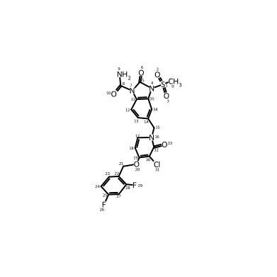 CS(=O)(=O)n1c(=O)n(C(N)=O)c2ccc(Cn3ccc(OCc4ccc(F)cc4F)c(Cl)c3=O)cc21